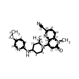 COc1ccc(NC2CCN(c3cc(=O)n(C)c4ccc(C#N)nc34)C(C)C2)nc1